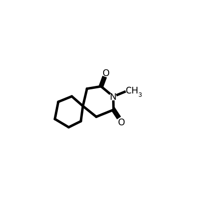 CN1C(=O)CC2(CCCCC2)CC1=O